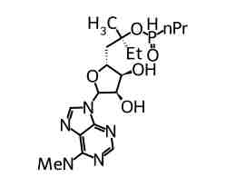 CCC[PH](=O)O[C@@](C)(CC)C[C@H]1OC(n2cnc3c(NC)ncnc32)[C@H](O)[C@@H]1O